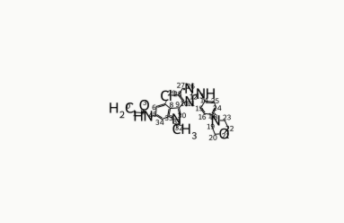 C=CC(=O)Nc1ccc2c(-c3nc(Nc4ccc(N5CCOCC5)cc4)ncc3Cl)cn(C)c2c1